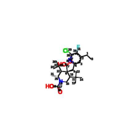 CCc1cc(C[C@@]2(C(=O)O)C(C(C)(C)C)CN(C(=O)O)[C@H](C)C2C(C)(C)C)nc(Cl)c1F